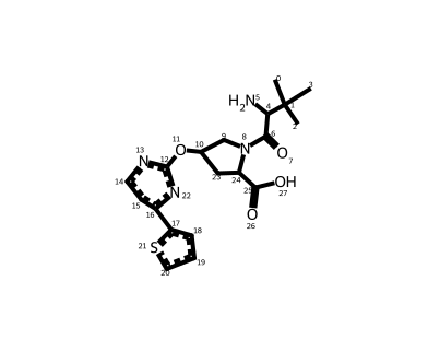 CC(C)(C)C(N)C(=O)N1CC(Oc2nccc(-c3cccs3)n2)CC1C(=O)O